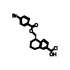 O=C(OC[C@H]1CCCc2cc([C@@H](O)Cl)ccc21)c1ccc(Br)cc1